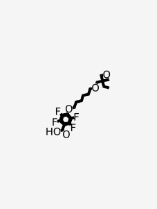 CCC1(COCCCCCCOc2c(F)c(F)c(C(=O)O)c(F)c2F)COC1